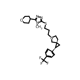 Cn1c(SCCCN2CC[C@]3(C[C@H]3c3ccc(C(F)(F)F)cc3)C2)nnc1C1CCOCC1